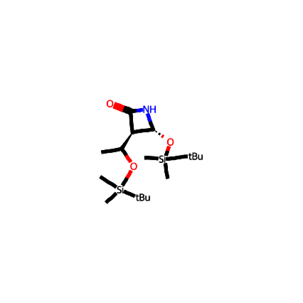 CC(O[Si](C)(C)C(C)(C)C)[C@H]1C(=O)N[C@@H]1O[Si](C)(C)C(C)(C)C